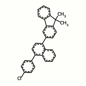 CC1(C)c2ccccc2-c2cc(-c3ccc(-c4ccc(Cl)cc4)c4ccccc34)ccc21